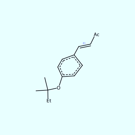 CCC(C)(C)Oc1ccc(/C=C/C(C)=O)cc1